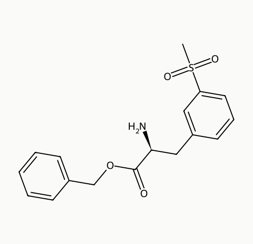 CS(=O)(=O)c1cccc(C[C@H](N)C(=O)OCc2ccccc2)c1